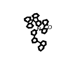 c1ccc(C2(c3ccccc3)c3ccccc3-c3ccc(N(c4cccc(-c5cccc(-c6cccc7ccccc67)c5)c4)c4cccc5oc6ccccc6c45)cc32)cc1